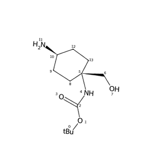 CC(C)(C)OC(=O)N[C@]1(CO)CC[C@@H](N)CC1